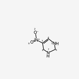 O=[N+]([O-])C1=CNCNC1